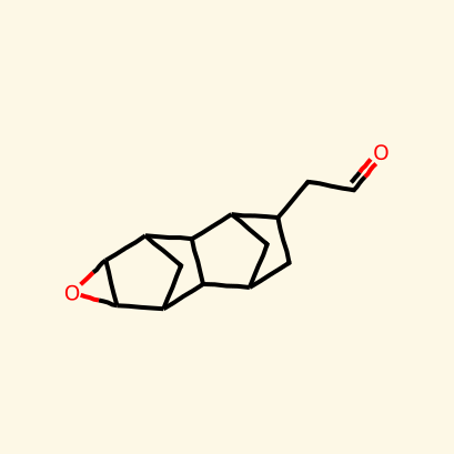 O=CCC1CC2CC1C1C3CC(C4OC34)C21